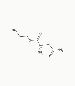 NC(=O)C[C@H](N)C(=O)OCCO